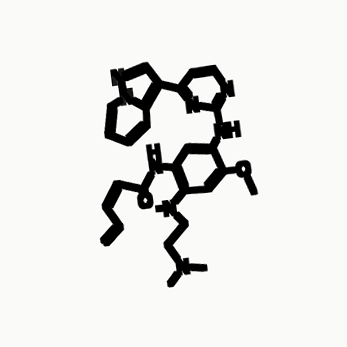 C=C/C=C\C(=O)Nc1cc(Nc2nccc(-c3cnn4ccccc34)n2)c(OC)cc1N(C)CCN(C)C